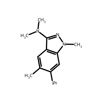 Cc1cc2c(N(C)C)nn(C)c2cc1C(C)C